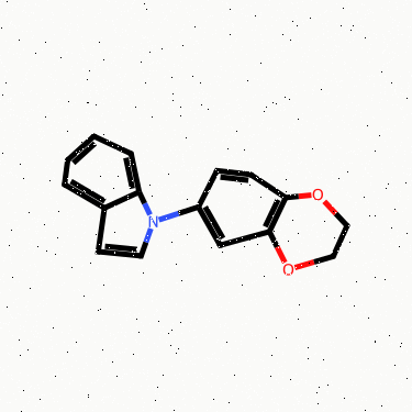 c1ccc2c(c1)ccn2-c1ccc2c(c1)OCCO2